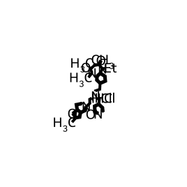 CCN1C(=O)C(C)(C)C(=O)N(C)c2cc(CCN(CCn3ccc4oc(C)cc4c3=O)Cc3ccncc3)ccc21.Cl.Cl